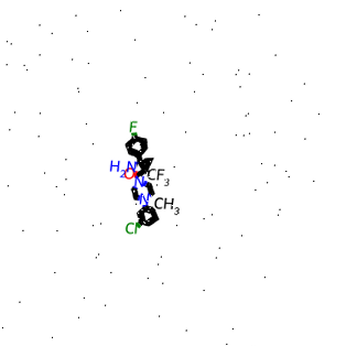 Cc1ccc(Cl)cc1N1CCN(C(=O)[C@]2(C(F)(F)F)C[C@@]2(N)c2ccc(F)cc2)CC1